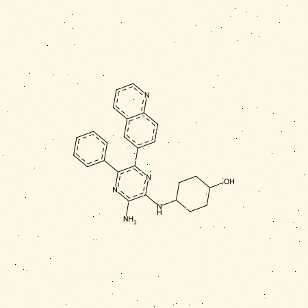 Nc1nc(-c2ccccc2)c(-c2ccc3ncccc3c2)nc1NC1CCC(O)CC1